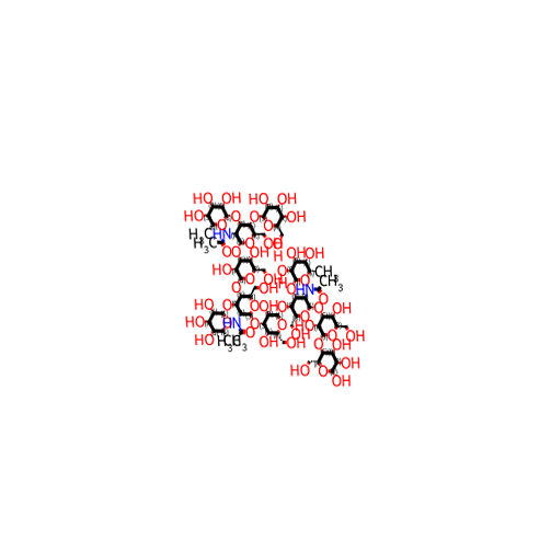 CC(=O)N[C@H]1[C@H](O[C@H]2[C@@H](O)[C@@H](CO)O[C@@H](O[C@H]3[C@H](O[C@@H]4O[C@@H](C)[C@@H](O)[C@@H](O)[C@@H]4O)[C@@H](NC(C)=O)[C@H](O[C@H]4[C@@H](O)[C@@H](CO)O[C@@H](O[C@H]5[C@H](O[C@@H]6O[C@@H](C)[C@@H](O)[C@@H](O)[C@@H]6O)[C@@H](NC(C)=O)[C@H](O[C@H]6[C@@H](O)[C@@H](CO)O[C@@H](O[C@H]7[C@H](O)[C@@H](O)[C@H](O)O[C@@H]7CO)[C@@H]6O)O[C@@H]5CO)[C@@H]4O)O[C@@H]3CO)[C@@H]2O)O[C@H](CO)[C@@H](O[C@@H]2O[C@H](CO)[C@H](O)[C@H](O)[C@H]2O)[C@@H]1O[C@@H]1O[C@@H](C)[C@@H](O)[C@@H](O)[C@@H]1O